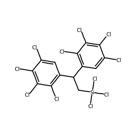 Clc1cc(C(C[Si](Cl)(Cl)Cl)c2cc(Cl)c(Cl)c(Cl)c2Cl)c(Cl)c(Cl)c1Cl